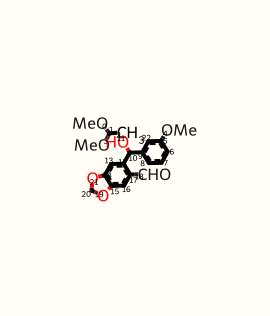 COC(C)OC.COc1cccc(C(O)c2cc3c(cc2C=O)OCO3)c1